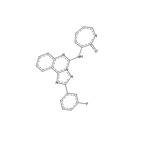 O=c1nccccc1Nc1nc2ccccc2c2nc(-c3cccc(F)c3)nn12